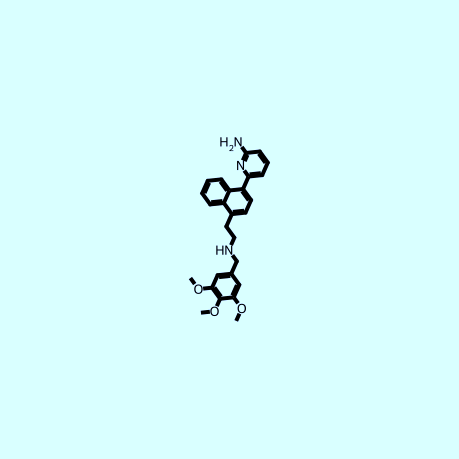 COc1cc(CNCCc2ccc(-c3cccc(N)n3)c3ccccc23)cc(OC)c1OC